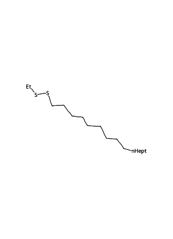 CCCCCCCCCCCCCCCCSSCC